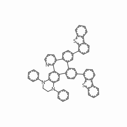 c1ccc(N2CCN(c3ccccc3)c3cc4c(cc32)-c2ccc(-c3cccc5c3sc3ccccc35)cc2-c2cc(-c3cccc5c3sc3ccccc35)ccc2-c2cccnc2-4)cc1